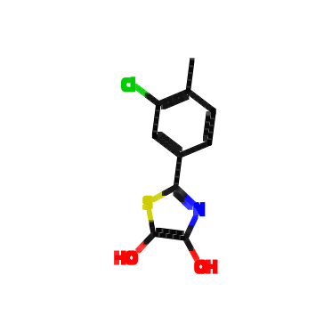 Cc1ccc(-c2nc(O)c(O)s2)cc1Cl